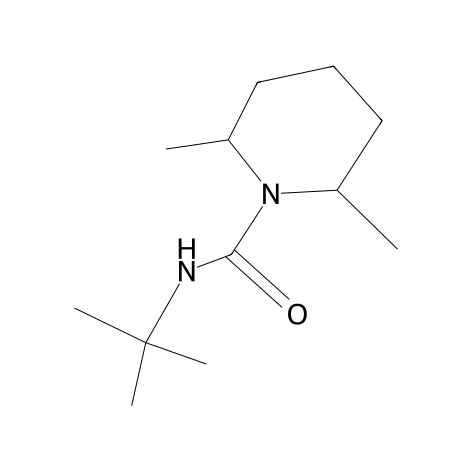 CC1CCCC(C)N1C(=O)NC(C)(C)C